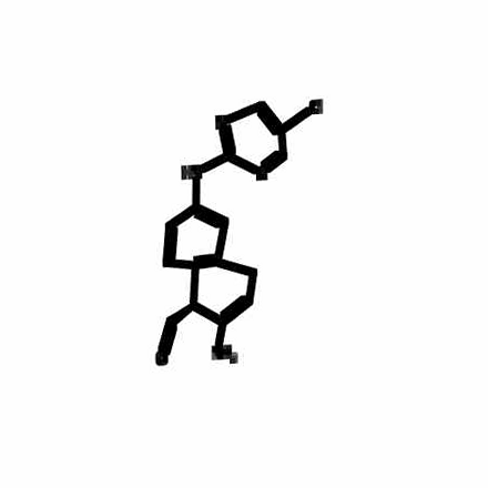 NC1=CCc2cc(Nc3ncc(Cl)cn3)ccc2[C@@H]1C=O